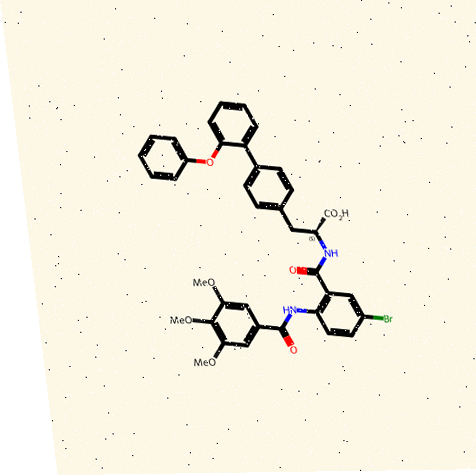 COc1cc(C(=O)Nc2ccc(Br)cc2C(=O)N[C@@H](Cc2ccc(-c3ccccc3Oc3ccccc3)cc2)C(=O)O)cc(OC)c1OC